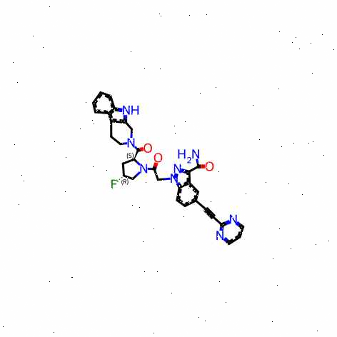 NC(=O)c1nn(CC(=O)N2C[C@H](F)C[C@H]2C(=O)N2CCc3c([nH]c4ccccc34)C2)c2ccc(C#Cc3ncccn3)cc12